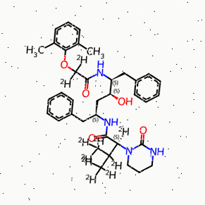 [2H]C([2H])(Oc1c(C)cccc1C)C(=O)N[C@@H](Cc1ccccc1)[C@@H](O)C[C@H](Cc1ccccc1)NC(=O)[C@@]([2H])(N1CCCNC1=O)C([2H])(C([2H])([2H])[2H])C([2H])([2H])[2H]